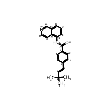 CC(C)(C)C=Cc1ccc(C(=O)Nc2cccc3cnccc23)cc1